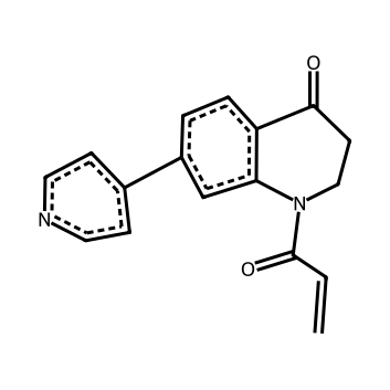 C=CC(=O)N1CCC(=O)c2ccc(-c3ccncc3)cc21